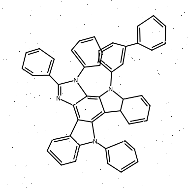 C1=CC2c3c(c4c(nc(-c5ccccc5)n4-c4ccccc4)c4c5ccccc5n(-c5ccccc5)c34)N(c3cccc(-c4ccccc4)c3)C2C=C1